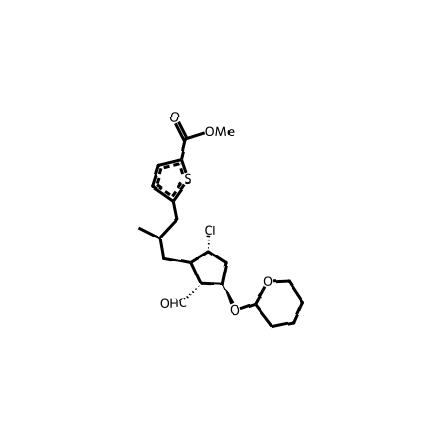 COC(=O)c1ccc(CC(C)CC2[C@H](Cl)C[C@@H](OC3CCCCO3)[C@@H]2C=O)s1